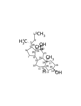 CCC[C@@H](C)C1CCC2C3CC[C@@H]4C[C@H](O)CC[C@]4(C)C3C[C@@H](O)[C@@]21C